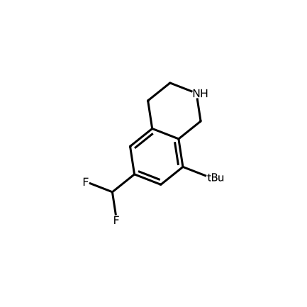 CC(C)(C)c1cc(C(F)F)cc2c1CNCC2